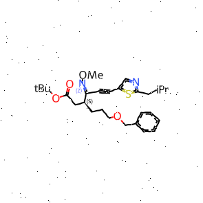 CO/N=C(\C#Cc1cnc(CC(C)C)s1)[C@@H](CCCOCc1ccccc1)CC(=O)OC(C)(C)C